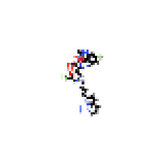 COC(CF)CN(CCCCc1ccc2c(n1)NCCC2)CCC(Nc1nc(C)nc2cc(F)ccc12)C(=O)O